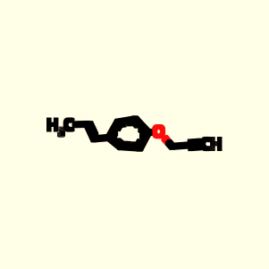 C#CCOc1ccc(C=CC)cc1